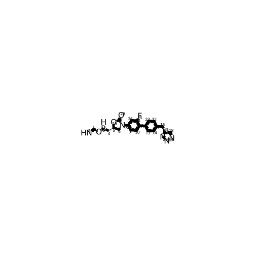 N=COBC[C@H]1CN(c2ccc(-c3ccc(Cn4cnnn4)cc3)c(F)c2)C(=O)O1